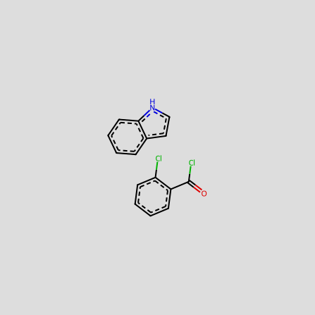 O=C(Cl)c1ccccc1Cl.c1ccc2[nH]ccc2c1